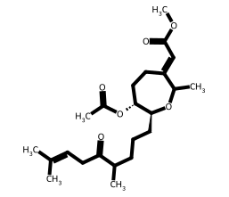 COC(=O)/C=C1\CC[C@@H](OC(C)=O)[C@H](CCCC(C)C(=O)CC=C(C)C)OC1C